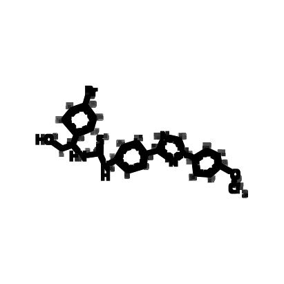 OCC(NC(=S)Nc1ccc(-c2ncn(-c3ccc(OC(F)(F)F)cc3)n2)cc1)c1ccc(Br)cc1